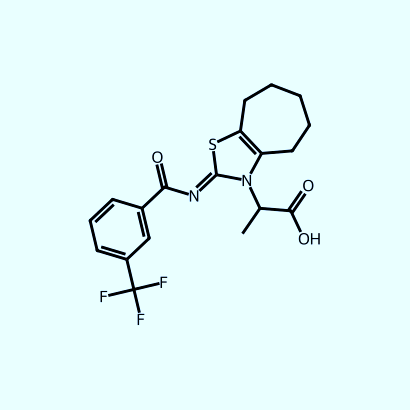 CC(C(=O)O)n1c2c(s/c1=N\C(=O)c1cccc(C(F)(F)F)c1)CCCCC2